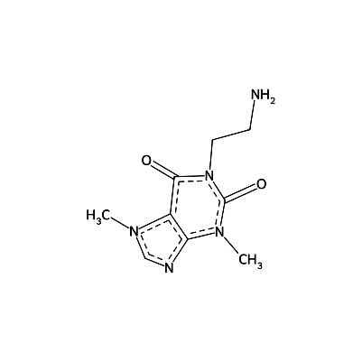 Cn1cnc2c1c(=O)n(CCN)c(=O)n2C